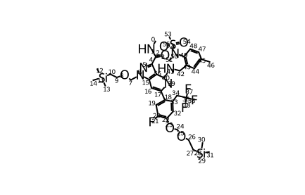 CNC(=O)c1nn(COCC[Si](C)(C)C)c2cc(-c3cc(F)c(OCOCC[Si](C)(C)C)cc3CC(F)(F)F)nc(NCc3cc(C)ccc3N(C)S(C)(=O)=O)c12